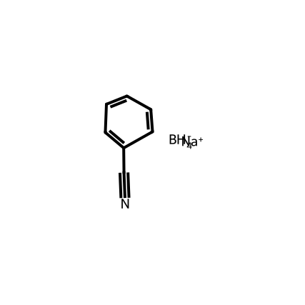 N#Cc1ccccc1.[BH4-].[Na+]